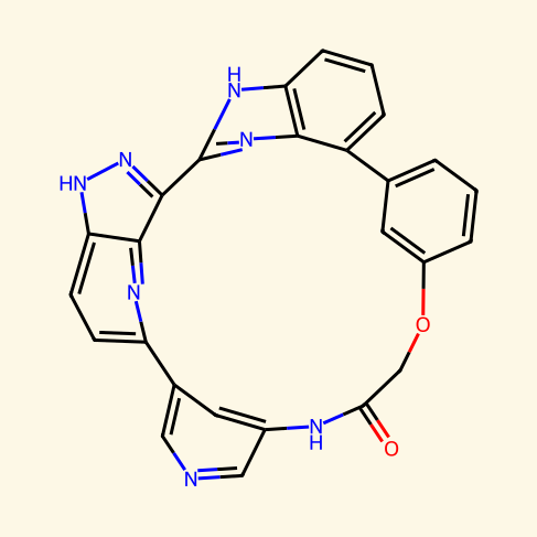 O=C1COc2cccc(c2)-c2cccc3[nH]c(nc23)-c2n[nH]c3ccc(nc23)-c2cncc(c2)N1